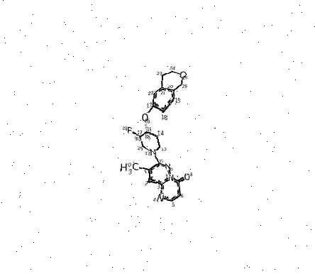 Cc1cc2nccc(=O)n2nc1N1CC[C@@H](Oc2ccc3c(c2)CCOC3)[C@H](F)C1